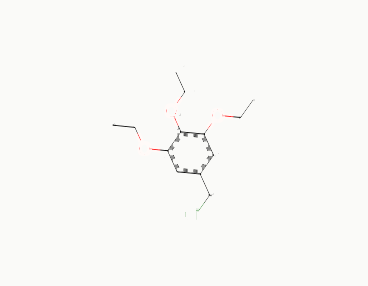 CCOc1cc(CCl)cc(OCC)c1OCC